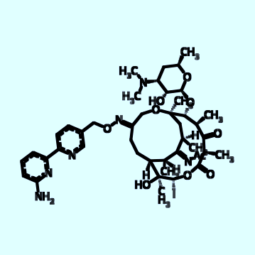 CC(=O)/N=C1\[C@H](C)C[C@@]2(C)OC/C(=N/OCc3ccc(-c4cccc(N)n4)nc3)CC[C@H]([C@H]1C)[C@](C)(O)[C@@H](I)OC(=O)[C@H](C)C(=O)[C@H](C)[C@H]2O[C@@H]1O[C@H](C)C[C@H](N(C)C)[C@H]1O